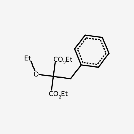 CCOC(=O)C(Cc1ccccc1)(OCC)C(=O)OCC